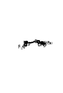 Cc1cc(OCCCCCCSc2ccnc3cc(C(F)(F)F)ccc23)ccc1N1CCN(C(=O)OC(C)(C)C)CC1